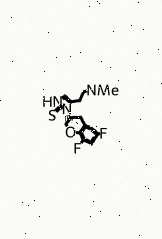 CNCCc1c[nH]c(=S)n1[C@H]1COc2c(F)cc(F)cc2C1